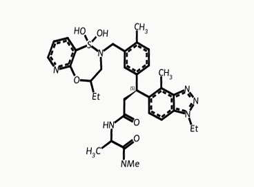 CCC1CN(Cc2cc([C@H](CC(=O)NC(C)C(=O)NC)c3ccc4c(nnn4CC)c3C)ccc2C)S(O)(O)c2cccnc2O1